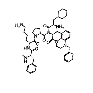 CN[C@@H](Cc1ccccc1)C(=O)N[C@@H](CCCCN)C(=O)N1CCC[C@H]1C(=O)N(C(=O)[C@H](N)CC1CCCCC1)[C@@H](Cc1ccccc1)C(=O)N1CCN(Cc2ccccc2)CC1